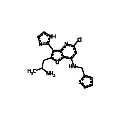 CC(N)Cc1oc2c(NCc3cccs3)cc(Cl)nc2c1-c1ncc[nH]1